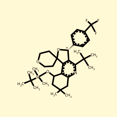 CC1(C)Cc2nc(C(C)(C)C)c3c(c2C(O[Si](C)(C)C(C)(C)C)C1)C1(CCOCC1)O[C@@H]3c1ccc(C(F)(F)F)cc1